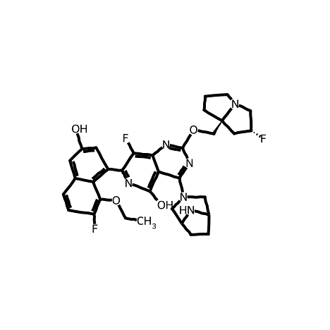 CCOc1c(F)ccc2cc(O)cc(-c3nc(O)c4c(N5CC6CCC(C5)N6)nc(OC[C@@]56CCCN5C[C@H](F)C6)nc4c3F)c12